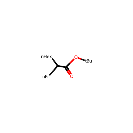 CCCCCCC(CCC)C(=O)OC(C)(C)C